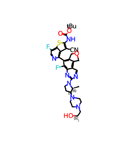 C[C@H](O)CN1CCN([C@H]2CCN(c3ncc4c5c(c(-c6ncc(F)c7sc(NC(=O)OC(C)(C)C)c(C#N)c67)c(F)c4n3)COC5)[C@H]2C)CC1